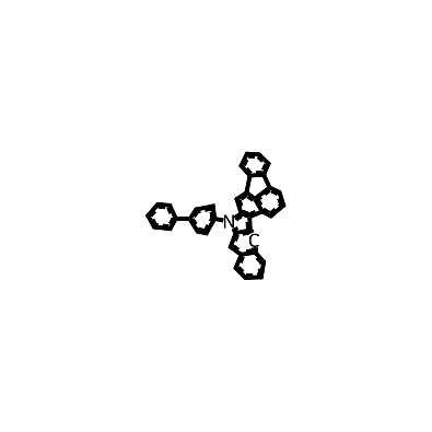 c1ccc(-c2ccc(-n3c4cc5ccccc5cc4c4c5cccc6c5c(cc43)-c3ccccc3-6)cc2)cc1